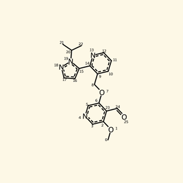 COc1cncc(OCc2cccnc2-c2ccnn2C(C)C)c1C=O